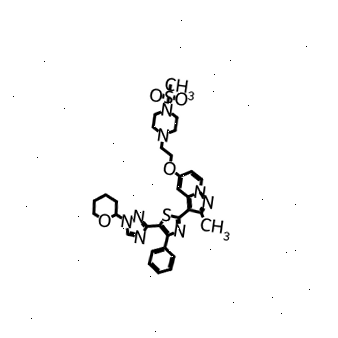 Cc1nn2ccc(OCCN3CCN(S(C)(=O)=O)CC3)cc2c1-c1nc(-c2ccccc2)c(-c2ncn(C3CCCCO3)n2)s1